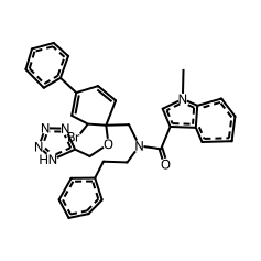 Cn1cc(C(=O)N(CCc2ccccc2)CC2(OCc3nnn[nH]3)C=CC(c3ccccc3)=CC2Br)c2ccccc21